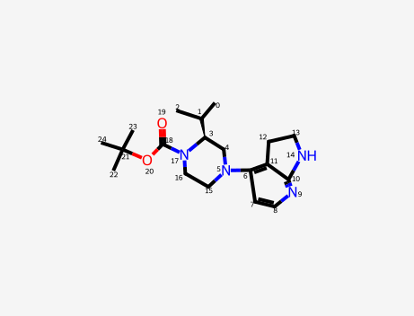 CC(C)[C@H]1CN(c2ccnc3c2CCN3)CCN1C(=O)OC(C)(C)C